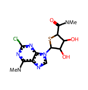 CNC(=O)C1SC(n2cnc3c(NC)nc(Cl)nc32)C(O)C1O